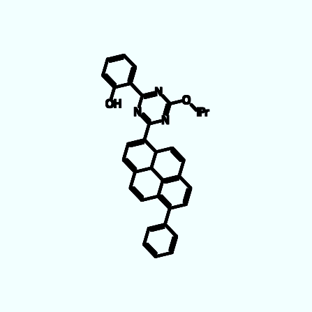 CC(C)Oc1nc(C2=CC=C3C=Cc4c(-c5ccccc5)ccc5c4C3C2C=C5)nc(-c2ccccc2O)n1